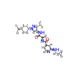 CC(C)c1nn(C2CCC(C(C)C)CC2)cc1NC(=O)c1coc(-c2ccnc(NCC3CC3)c2)n1